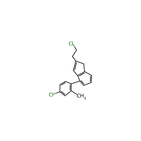 Cc1cc(Cl)ccc1-c1cccc2c1C=C(CCCl)[CH]2